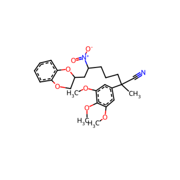 COc1cc(C(C)(C#N)CCCC(CC2COc3ccccc3O2)[N+](=O)[O-])cc(OC)c1OC